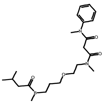 CB(CCCOCCN(C)C(=O)CC(=O)N(C)c1ccccc1)C(=O)CC(C)C